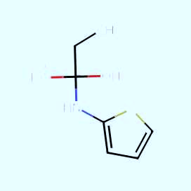 CCC(O)(O)Nc1cccs1